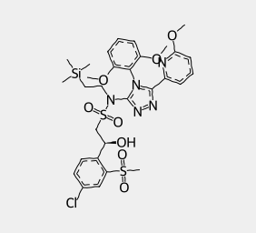 COc1cccc(-c2nnc(N(CC[Si](C)(C)C)S(=O)(=O)C[C@@H](O)c3ccc(Cl)cc3S(C)(=O)=O)n2-c2c(OC)cccc2OC)n1